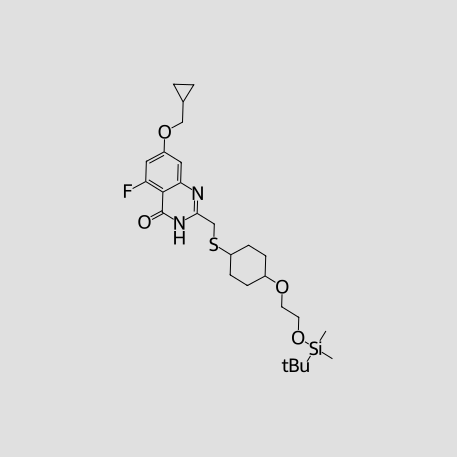 CC(C)(C)[Si](C)(C)OCCOC1CCC(SCc2nc3cc(OCC4CC4)cc(F)c3c(=O)[nH]2)CC1